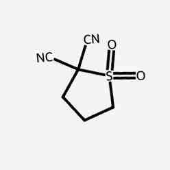 N#CC1(C#N)CCCS1(=O)=O